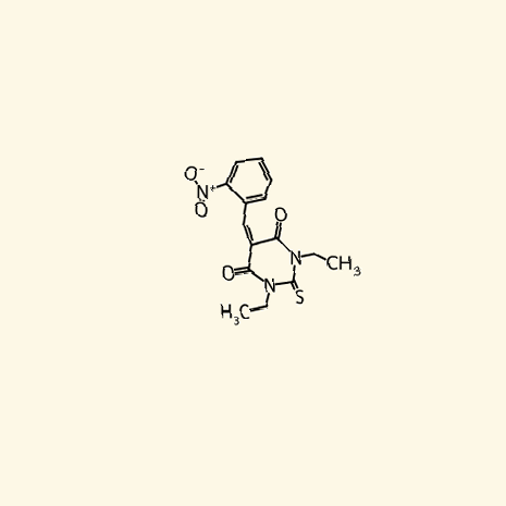 CCN1C(=O)C(=Cc2ccccc2[N+](=O)[O-])C(=O)N(CC)C1=S